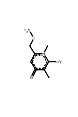 CCCc1c(C)c(=O)cc(CON)n1C